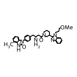 COCCCn1c(C2CCCN(C(=O)CC(N)Cc3ccc(-n4c(=O)[nH]c5c(C)cccc54)cc3)C2)nc2ccccc21